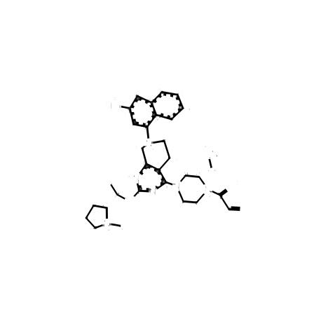 C=CC(=O)N1CCN(c2nc(OC(C)[C@H]3CCCN3C)nc3c2CCN(c2cc(O)cc4ccccc24)C3)C[C@@H]1CC#N